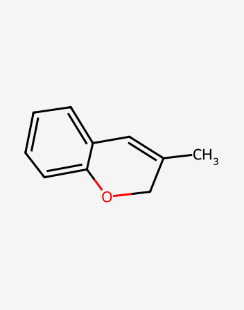 CC1=Cc2ccccc2OC1